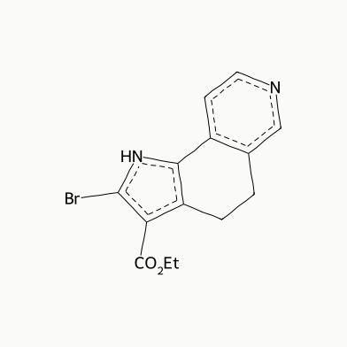 CCOC(=O)c1c(Br)[nH]c2c1CCc1cnccc1-2